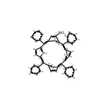 O=[N+]([O-])C1=CC2=C(c3ccccc3)C3=NC(=C(c4ccccc4)C4=NC(=C(c5ccccc5)C5=NC(=C(c6ccccc6)C1=N2)C=C5)C=C4)C=C3